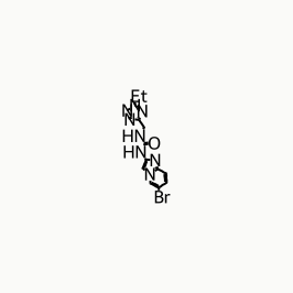 CCn1nnc(CNC(=O)Nc2cn3cc(Br)ccc3n2)n1